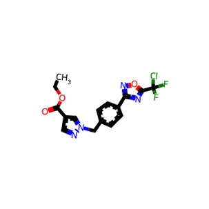 CCOC(=O)c1cnn(Cc2ccc(-c3noc(C(F)(F)Cl)n3)cc2)c1